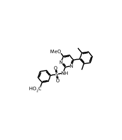 COc1cc(-c2c(C)cccc2C)nc(NS(=O)(=O)c2cccc(C(=O)O)c2)n1